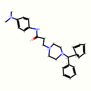 CN(C)c1ccc(NC(=O)CCN2CCN(C(c3ccccc3)c3ccccc3)CC2)cc1